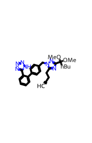 C#CCCc1nc(C(CCCC)(OC)OC)nn1Cc1ccc(-c2ccccc2-c2nnn[nH]2)cc1